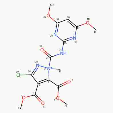 COC(=O)C1=C(C(=O)OC)[N+](C)(C(=O)Nc2nc(OC)cc(OC)n2)N=C1Cl